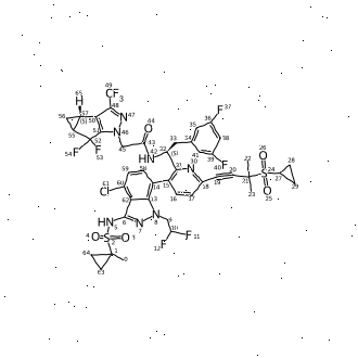 CC1(S(=O)(=O)Nc2nn(CC(F)F)c3c(-c4ccc(C#CC(C)(C)S(=O)(=O)C5CC5)nc4[C@H](Cc4cc(F)cc(F)c4)NC(=O)Cn4nc(C(F)(F)F)c5c4C(F)(F)C4C[C@H]54)ccc(Cl)c23)CC1